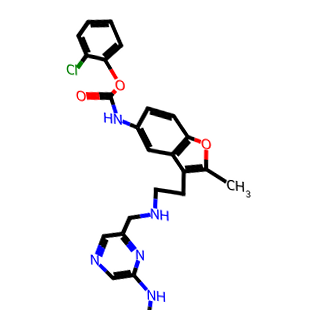 Cc1oc2ccc(NC(=O)Oc3ccccc3Cl)cc2c1CCNCc1cncc(NC=O)n1